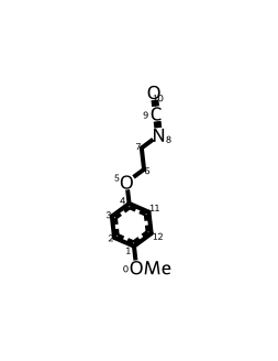 COc1ccc(OCCN=C=O)cc1